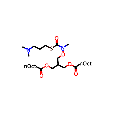 CCCCCCCCC(=O)OCC(COC(=O)CCCCCCCC)CON(C)C(=O)SCCCN(C)C